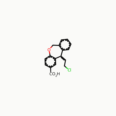 O=C(O)c1ccc2c(c1)/C(=C\CCl)c1ccccc1CO2